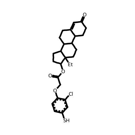 CCC12CCC3C4CCC(=O)C=C4CCC3C1CCC2OC(=O)COc1ccc(S)cc1Cl